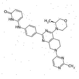 Cc1nccc(N2CCc3c(nc(-c4ccc(Nc5cccc(=O)[nH]5)cc4)nc3N3CCOC[C@@H]3C)C2)n1